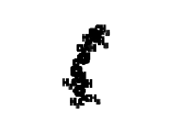 CC(C)c1cccc(Nc2nc3cc(Oc4ccnc(C(=O)NCCNS(=O)(=O)C(C)C)c4)ccc3n2C)c1